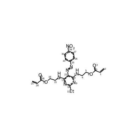 C=CC(=O)OCCNc1nc(CC)nc(NCCOC(=O)C=C)c1/N=N/c1ccc([N+](=O)[O-])cc1